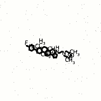 CC1CN(CCNC23CCCC2C2CCC4C5(C)CC=C(C6=CCC(CF)CC6)C(C)(C)C5CC[C@@]4(C)[C@]2(C)CC3)CC(C)S1(=O)=O